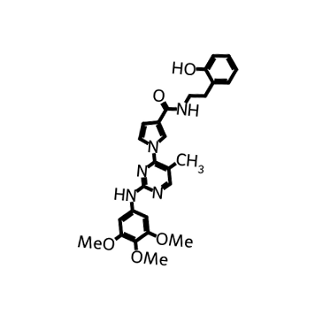 COc1cc(Nc2ncc(C)c(-n3ccc(C(=O)NCCc4ccccc4O)c3)n2)cc(OC)c1OC